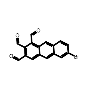 O=Cc1cc2cc3cc(Br)ccc3cc2c(C=O)c1C=O